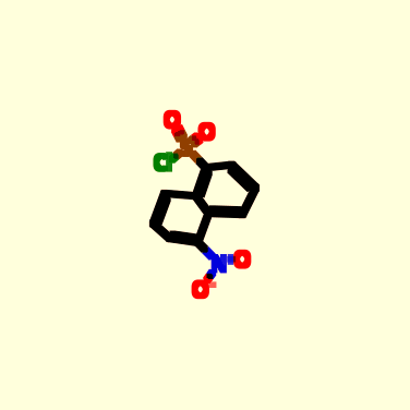 O=[N+]([O-])c1cccc2c(S(=O)(=O)Cl)cccc12